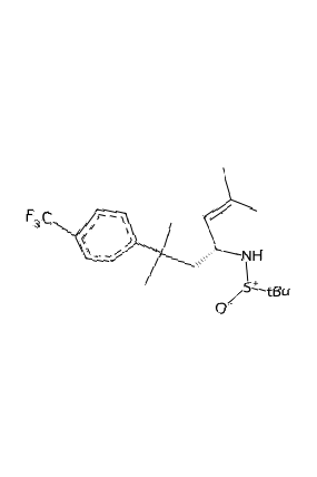 CC(C)=C[C@@H](CC(C)(C)c1ccc(C(F)(F)F)cc1)N[S+]([O-])C(C)(C)C